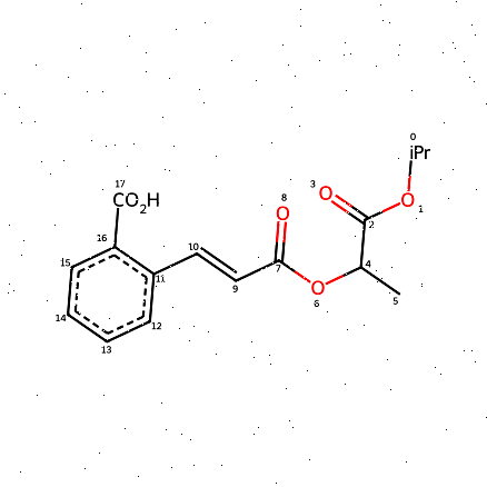 CC(C)OC(=O)C(C)OC(=O)/C=C/c1ccccc1C(=O)O